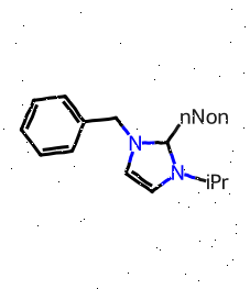 CCCCCCCCCC1N(Cc2ccccc2)C=CN1C(C)C